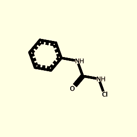 O=C(NCl)Nc1ccccc1